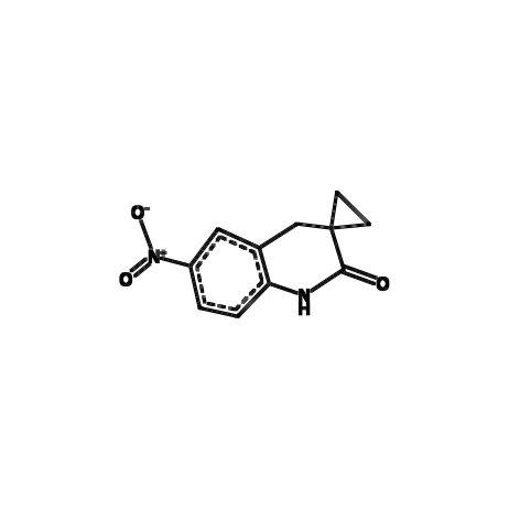 O=C1Nc2ccc([N+](=O)[O-])cc2CC12CC2